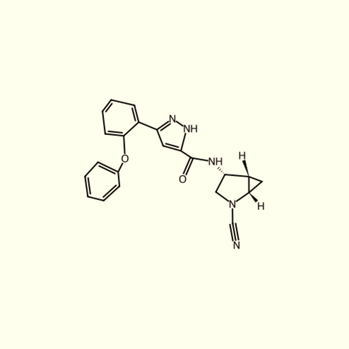 N#CN1C[C@H](NC(=O)c2cc(-c3ccccc3Oc3ccccc3)n[nH]2)[C@@H]2C[C@@H]21